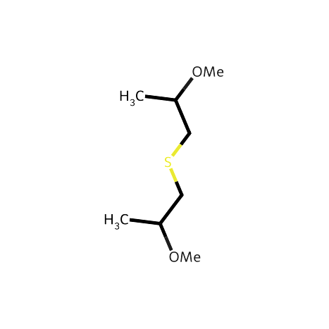 COC(C)CSCC(C)OC